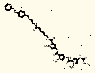 Cn1cc(NC(=O)c2cc(NC(=O)c3cc(NC(=O)OC(C)(C)C)cn3C)cn2C)cc1C(=O)NCCCCCC(=O)OCCSCc1ccc(N=Nc2ccccc2)cc1